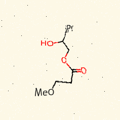 COCCC(=O)OCC(O)C(C)C